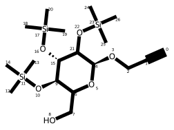 C#CCO[C@H]1OC(CO)[C@@H](O[Si](C)(C)C)[C@H](O[Si](C)(C)C)C1O[Si](C)(C)C